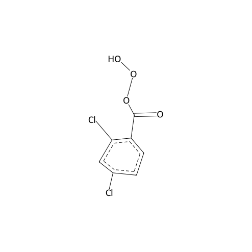 O=C(OOO)c1ccc(Cl)cc1Cl